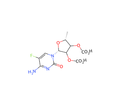 C[C@H]1O[C@@H](n2cc(F)c(N)nc2=O)C(OC(=O)O)C1OC(=O)O